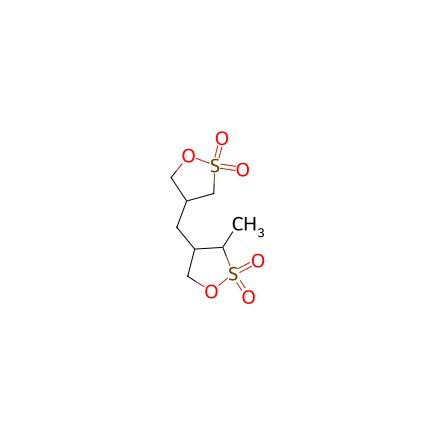 CC1C(CC2COS(=O)(=O)C2)COS1(=O)=O